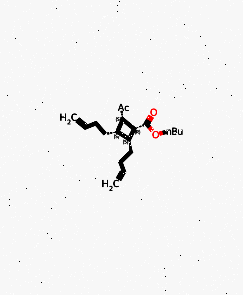 C=CCC[C@H]1[C@H](CCC=C)[C@H](C(C)=O)[C@@H]1C(=O)OCCCC